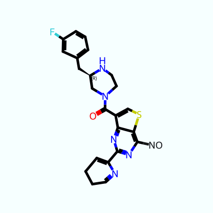 O=Nc1nc(C2=CCCC=N2)nc2c(C(=O)N3CCN[C@H](Cc4cccc(F)c4)C3)csc12